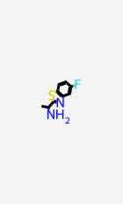 CC(N)c1nc2cc(F)ccc2s1